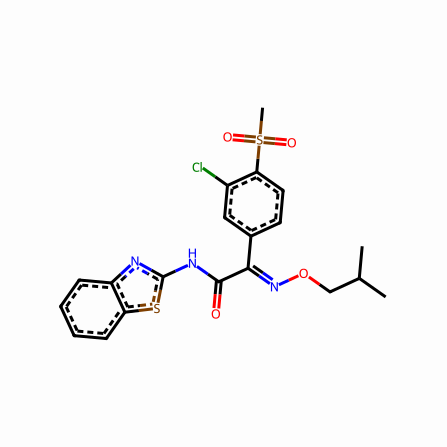 CC(C)CO/N=C(/C(=O)Nc1nc2ccccc2s1)c1ccc(S(C)(=O)=O)c(Cl)c1